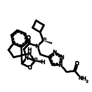 C[C@@H](C1CCC1)N(Cc1cn(CC(N)=O)nn1)C(=O)CN1C2O[C@H]1NC21CCc2ccccc21